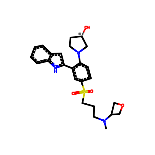 CN(CCCS(=O)(=O)c1ccc(N2CC[C@H](O)C2)c(-c2cc3ccccc3[nH]2)c1)C1COC1